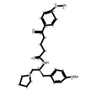 COc1ccc(C[C@@H](CN2CCCC2)NC(=O)CCCC(=O)c2ccc(OC(C)C)cc2)cc1